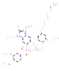 CCCOc1cc(OCCCCCCN)cc(Oc2cc3c(cc2N(OC(=O)C(F)(F)F)S(=O)(=O)c2ccc(OC)c(OC)c2)n(C)c(=O)n3C)c1